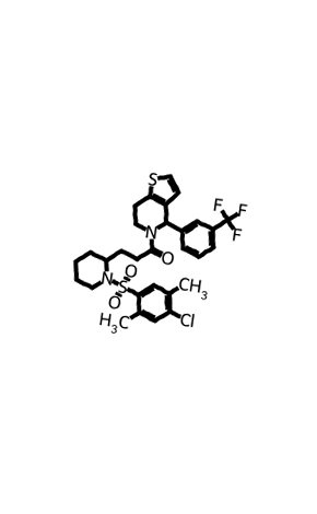 Cc1cc(S(=O)(=O)N2CCCCC2CCC(=O)N2CCc3sccc3C2c2cccc(C(F)(F)F)c2)c(C)cc1Cl